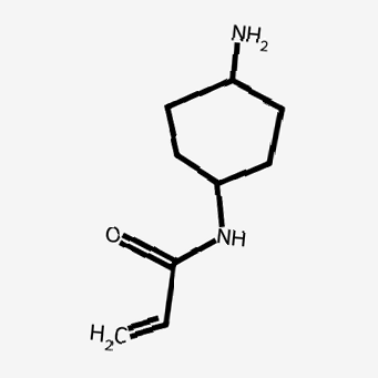 C=CC(=O)NC1CCC(N)CC1